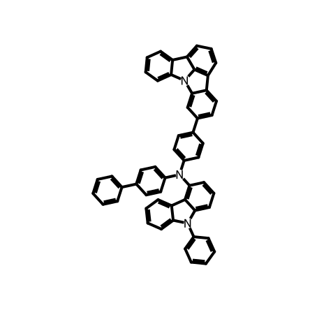 c1ccc(-c2ccc(N(c3ccc(-c4ccc5c6cccc7c8ccccc8n(c5c4)c76)cc3)c3cccc4c3c3ccccc3n4-c3ccccc3)cc2)cc1